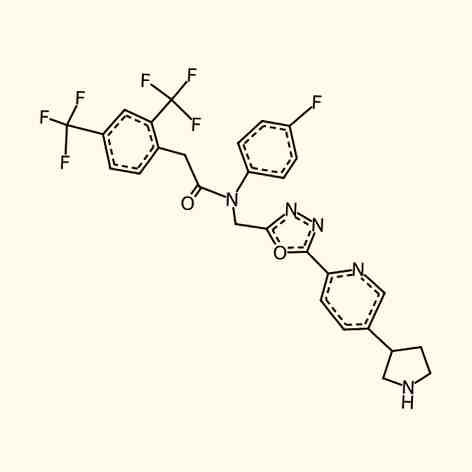 O=C(Cc1ccc(C(F)(F)F)cc1C(F)(F)F)N(Cc1nnc(-c2ccc(C3CCNC3)cn2)o1)c1ccc(F)cc1